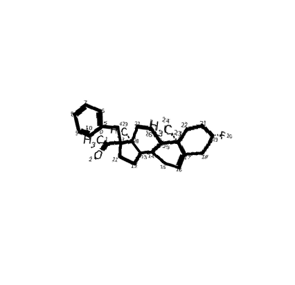 CC(=O)C1(Cc2ccccc2)CCC2C3CC=C4C[C@@H](F)CC[C@]4(C)C3CC[C@@]21C